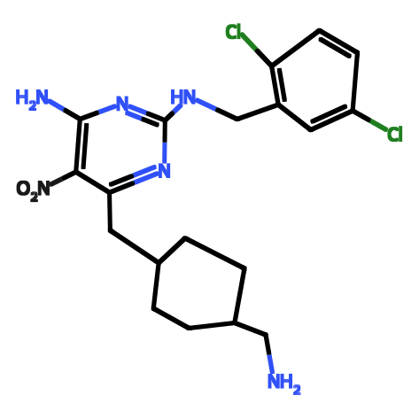 NCC1CCC(Cc2nc(NCc3cc(Cl)ccc3Cl)nc(N)c2[N+](=O)[O-])CC1